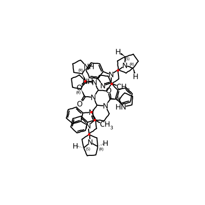 Cc1nc2ccccc2n1C1C[C@H]2CC[C@@H](C1)N2CCC1(c2ccccc2)CCN(C(=O)[C@H]2CCCN2)C(N(C(=O)[C@H]2CCCN2)C2CC(CCN3[C@@H]4CC[C@H]3CC(n3c(C)nc5ccccc53)C4)(c3ccccc3)CCN2C(=O)[C@H]2CCCN2)C1